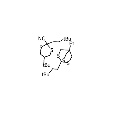 CC(C)(C)CCC1(C#N)SCC(C(C)(C)C)CS1.CCC12CSC(CCC(C)(C)C)(SC1)SC2